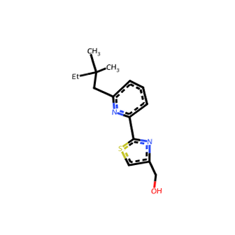 CCC(C)(C)Cc1cccc(-c2nc(CO)cs2)n1